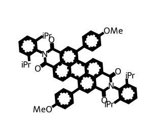 COc1ccc(-c2cc3c4c(ccc5c6c(-c7ccc(OC)cc7)cc7c8c(ccc(c2c45)c86)C(=O)N(c2c(C(C)C)cccc2C(C)C)C7=O)C(=O)N(c2c(C(C)C)cccc2C(C)C)C3=O)cc1